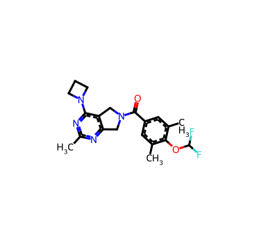 Cc1nc2c(c(N3CCC3)n1)CN(C(=O)c1cc(C)c(OC(F)F)c(C)c1)C2